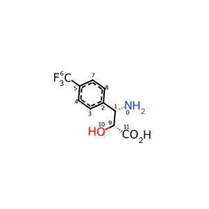 N[C@@H](c1ccc(C(F)(F)F)cc1)[C@@H](O)C(=O)O